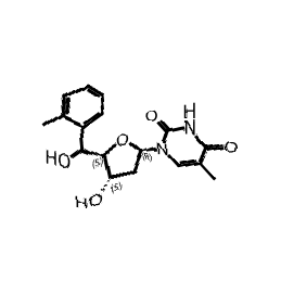 Cc1ccccc1C(O)[C@H]1O[C@@H](n2cc(C)c(=O)[nH]c2=O)C[C@@H]1O